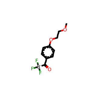 COCCOc1ccc(C(=O)[B-](F)(F)F)cc1